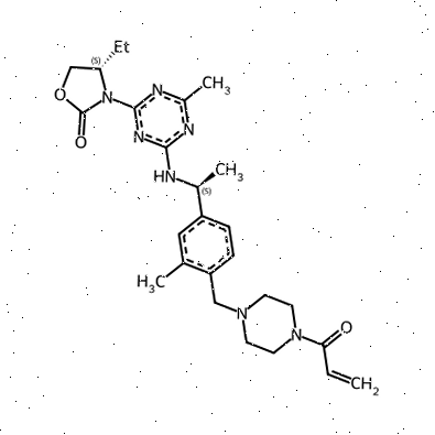 C=CC(=O)N1CCN(Cc2ccc([C@H](C)Nc3nc(C)nc(N4C(=O)OC[C@@H]4CC)n3)cc2C)CC1